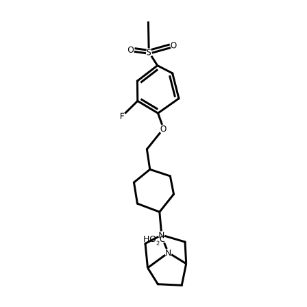 CS(=O)(=O)c1ccc(OCC2CCC(N3CC4CCC(C3)N4C(=O)O)CC2)c(F)c1